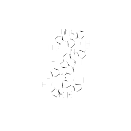 Cc1cccc(C)c1-c1cc(-c2c(C)cccc2C)cc(N(c2cc(F)cc(F)c2)c2ccc3ccc4c(N(c5cc(F)cc(F)c5)c5cc(-c6c(C)cccc6C)cc(-c6c(C)cccc6C)c5)ccc5ccc2c3c54)c1